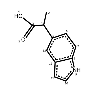 CC(C(=O)O)c1ccc2[nH]ccc2c1